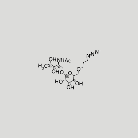 CC(=O)N[C@@H](CO[C@H]1OC(COCCCN=[N+]=[N-])[C@H](O)[C@H](O)C1O)[C@H](O)[C@@H](C)O